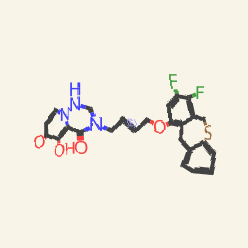 O=C1c2c(O)c(=O)ccn2NCN1C/C=C/COc1cc(F)c(F)c2c1Cc1ccccc1SC2